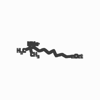 CCCCCCCCCCCCCCCCC(C)(C)[N]C